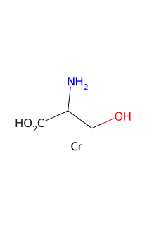 NC(CO)C(=O)O.[Cr]